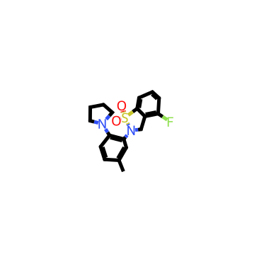 Cc1ccc(N2CCCC2)c(N2Cc3c(F)cccc3S2(=O)=O)c1